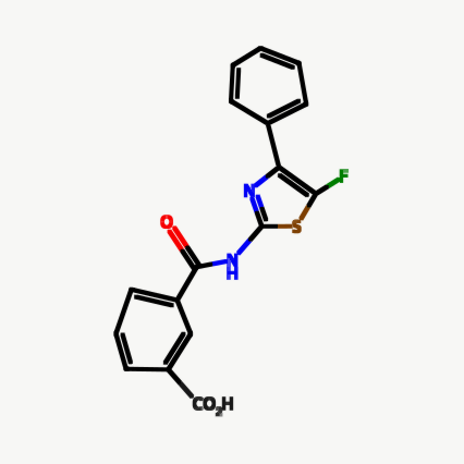 O=C(O)c1cccc(C(=O)Nc2nc(-c3ccccc3)c(F)s2)c1